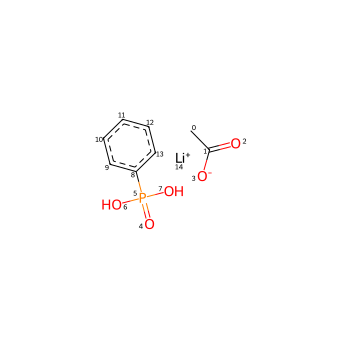 CC(=O)[O-].O=P(O)(O)c1ccccc1.[Li+]